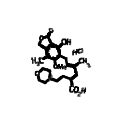 COc1c(C)c2c(c(O)c1C/C=C(\C)CC(CCN1CCOCC1)C(=O)O)C(=O)OC2.Cl